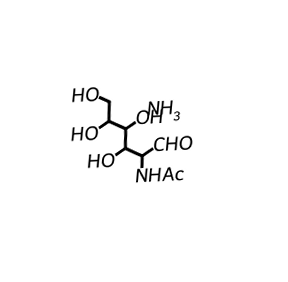 CC(=O)NC(C=O)C(O)C(O)C(O)CO.N